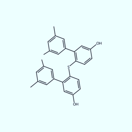 Cc1cc(C)cc(-c2cc(O)ccc2Sc2ccc(O)cc2-c2cc(C)cc(C)c2)c1